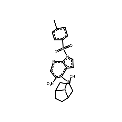 Cc1ccc(S(=O)(=O)n2ccc3c(NN4C5CCC4CC(O)C5)c([N+](=O)[O-])cnc32)cc1